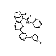 O=C(Nc1ccncc1F)N1c2nc(-c3ccnc(N4CC[C@H](F)C4)c3)ccc2N2CC[C@H]1C2